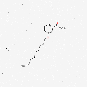 CCCCCCCCCCCCCCCCCCOc1cccc(C(=O)C(=O)O)c1